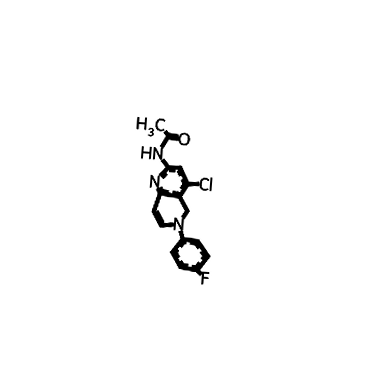 CC(=O)Nc1cc(Cl)c2c(n1)C=CN(c1ccc(F)cc1)C2